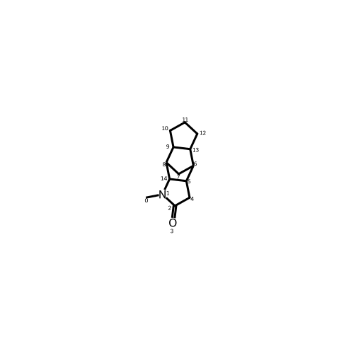 CN1C(=O)CC2C3CC(C4CCCC34)C21